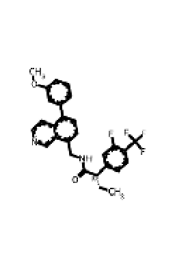 CC[C@H](C(=O)NCc1ccc(-c2cccc(OC)c2)c2ccncc12)c1ccc(C(F)(F)F)c(F)c1